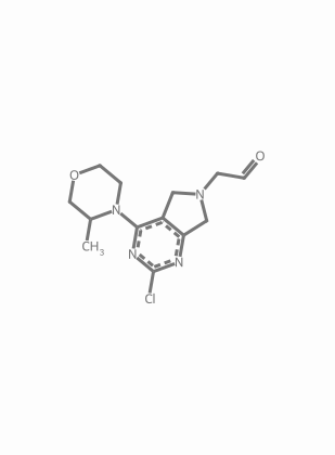 CC1COCCN1c1nc(Cl)nc2c1CN(CC=O)C2